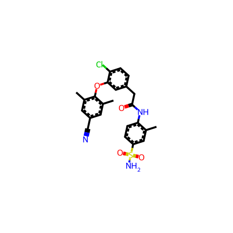 Cc1cc(S(N)(=O)=O)ccc1NC(=O)Cc1ccc(Cl)c(Oc2c(C)cc(C#N)cc2C)c1